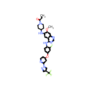 C=CC(=O)N1CCC(Nc2cc3c(Nc4ccc(Oc5ccnc(-n6cc(C(F)(F)F)cn6)c5)cc4F)ncnc3cc2OC)CC1